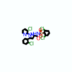 O=C(NS(=O)(=O)c1c(Cl)cccc1Cl)c1cc(-c2ccccc2Cl)n(-c2ncccc2Cl)n1